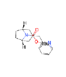 CC(C)(C)OC(=O)N1[C@@H]2CC[C@H]1CC(Cc1ccccn1)C2